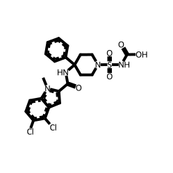 Cn1c(C(=O)NC2(c3ccccc3)CCN(S(=O)(=O)NC(=O)O)CC2)cc2c(Cl)c(Cl)ccc21